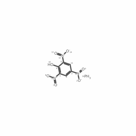 O=[N+]([O-])c1cc([N+](=O)[O-])c(O)c([N+](=O)[O-])c1.P